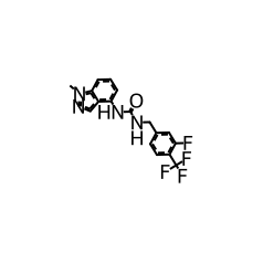 Cn1ncc2c(NC(=O)NCc3ccc(C(F)(F)F)c(F)c3)cccc21